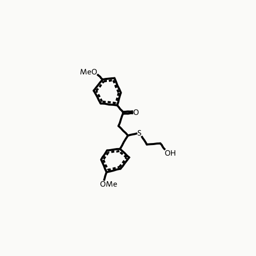 COc1ccc(C(=O)CC(SCCO)c2ccc(OC)cc2)cc1